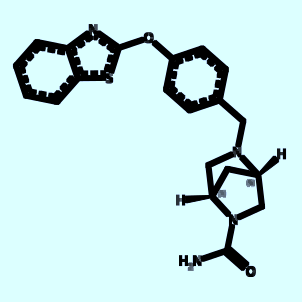 NC(=O)N1C[C@@H]2C[C@H]1CN2Cc1ccc(Oc2nc3ccccc3s2)cc1